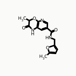 Cc1ccc(CNC(=O)c2cnc3c(c2)NC(=O)C(C)O3)o1